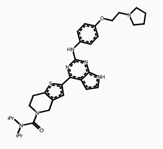 CC(C)N(C(=O)N1CCc2sc(-c3nc(Nc4ccc(OCCN5CCCC5)cc4)nc4[nH]ccc34)cc2C1)C(C)C